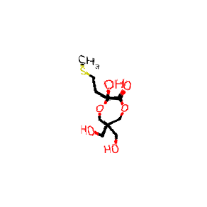 CSCCC1(O)OCC(CO)(CO)COC1=O